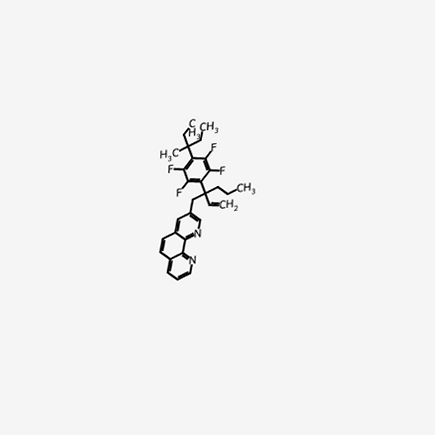 C=CC(CCC)(Cc1cnc2c(ccc3cccnc32)c1)c1c(F)c(F)c(C(C)(CC)CC)c(F)c1F